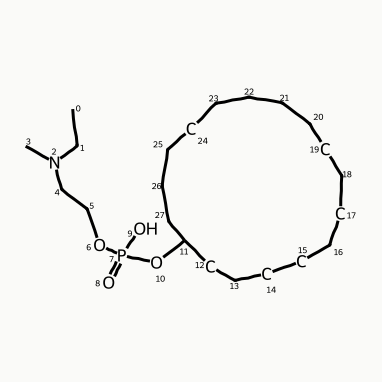 CCN(C)CCOP(=O)(O)OC1CCCCCCCCCCCCCCCC1